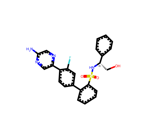 Nc1cnc(-c2ccc(-c3ccccc3S(=O)(=O)N[C@@H](CO)c3ccccc3)cc2F)cn1